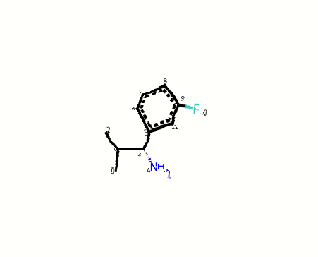 CC(C)[C@@H](N)c1cccc(F)c1